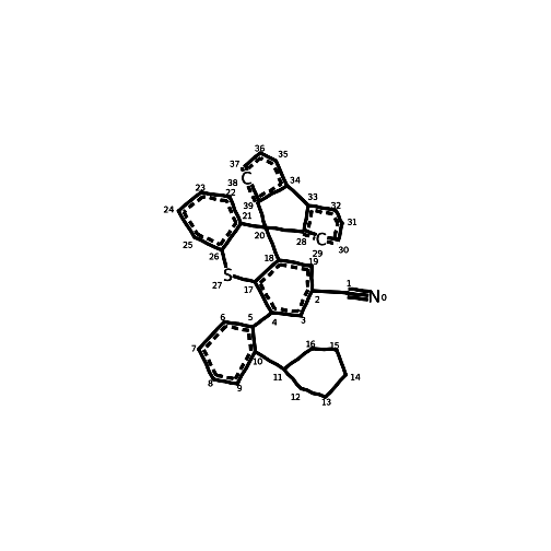 N#Cc1cc(-c2ccccc2C2CCCCC2)c2c(c1)C1(c3ccccc3S2)c2ccccc2-c2ccccc21